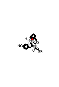 CC(C)(C)OC(=O)N[C@@H](Cc1ccc(C#N)cc1)C(=O)N1[C@@H]2CC3CCC2(CS1(=O)=O)C3(C)C